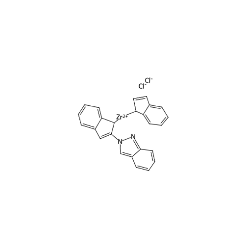 C1=C[CH]([Zr+2][CH]2C(n3cc4ccccc4n3)=Cc3ccccc32)c2ccccc21.[Cl-].[Cl-]